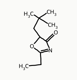 CCC1=NC(=O)C(CC(C)(C)C)O1